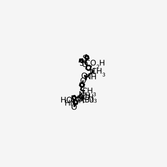 CC(Cc1ccc(OCC(=O)NCCN(C)[C@H]2CC[C@H](OC(C(=O)O)(c3cccs3)c3cccs3)CC2)cc1)NC[C@H](O[Si](C)(C)C(C)(C)C)c1ccc(O)c2[nH]c(=O)ccc12